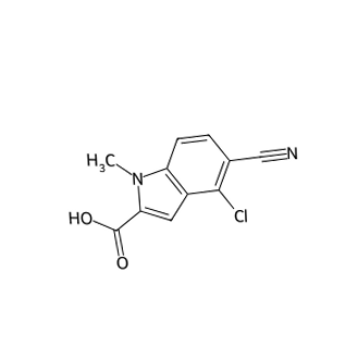 Cn1c(C(=O)O)cc2c(Cl)c(C#N)ccc21